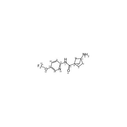 NC12CCC(C(=O)Nc3ccc(OC(F)(F)F)cn3)(C1)C2